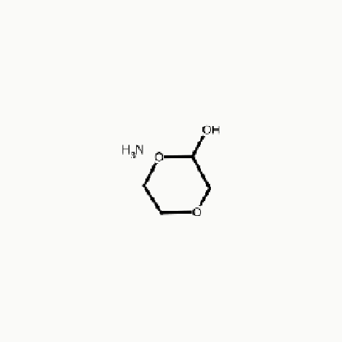 N.OC1COCCO1